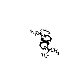 CC(C)N1CCCC2(CCCN(C(C)C)C2)C1